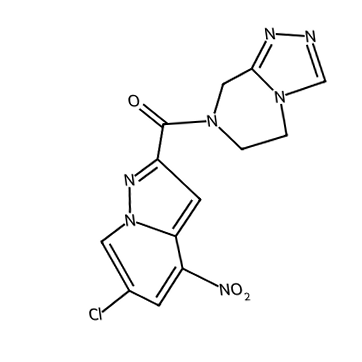 O=C(c1cc2c([N+](=O)[O-])cc(Cl)cn2n1)N1CCn2cnnc2C1